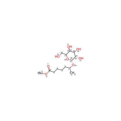 CC(CCCCC(=O)OC(C)(C)C)O[C@@H]1OC(CO)[C@@H](O)C(O)[C@@H]1O